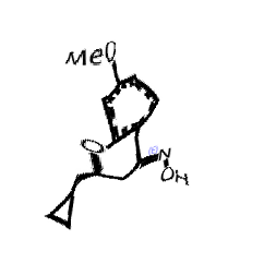 COc1ccc2c(c1)OC(C1CC1)C/C2=N\O